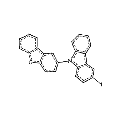 Ic1ccc2c(c1)c1ccccc1n2-c1ccc2oc3ccccc3c2c1